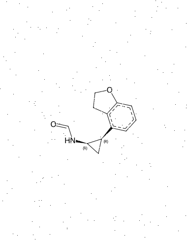 O=CN[C@@H]1C[C@@H]1c1cccc2c1CCO2